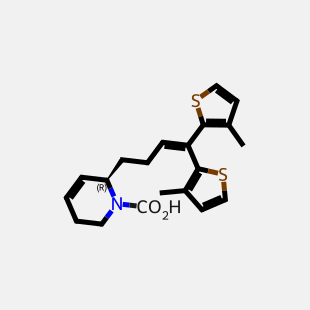 Cc1ccsc1C(=CCC[C@@H]1C=CCCN1C(=O)O)c1sccc1C